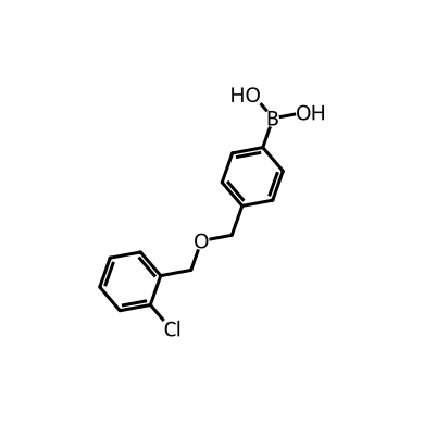 OB(O)c1ccc(COCc2ccccc2Cl)cc1